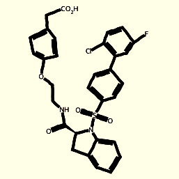 O=C(O)Cc1ccc(OCCNC(=O)[C@@H]2Cc3ccccc3N2S(=O)(=O)c2ccc(-c3cc(F)ccc3Cl)cc2)cc1